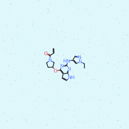 C=CC(=O)N1CCC(Oc2nc(Nc3cnn(CC)c3)nc3[nH]ccc23)C1